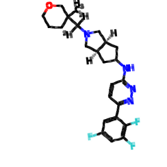 [2H]C([2H])(N1C[C@H]2CC(Nc3ccc(-c4cc(F)cc(F)c4F)nn3)C[C@H]2C1)C1(C)CCCOC1